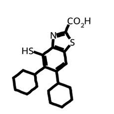 O=C(O)c1nc2c(S)c(C3CCCCC3)c(C3CCCCC3)cc2s1